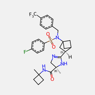 CC1(NC(=O)[C@@]2(C)CN=C([C@H]3CC4(N(Cc5ccc(C(F)(F)F)cc5)S(=O)(=O)c5ccc(F)cc5)CC3C4)N2)CCC1